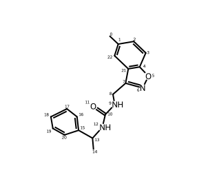 Cc1ccc2onc(CNC(=O)NC(C)c3ccccc3)c2c1